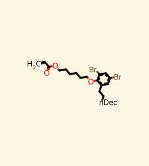 C=CC(=O)OCCCCCCOc1c(Br)cc(Br)cc1CCCCCCCCCCCC